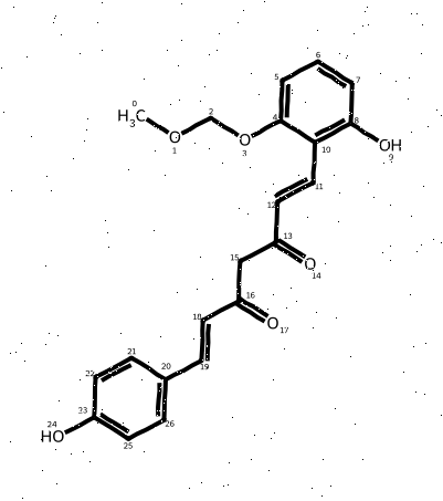 COCOc1cccc(O)c1/C=C/C(=O)CC(=O)/C=C/c1ccc(O)cc1